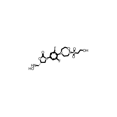 O=C1O[C@@H](CNO)CN1c1cc(F)c(N2CCON(S(=O)(=O)CCO)CC2)c(F)c1